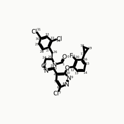 O=CN1C(c2cc(Cl)nnc2Oc2cccc(C3CC3)c2F)=NOC[C@H]1Cc1ccc(Cl)cc1Cl